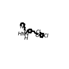 N=c1[nH]c2cc(CCCOc3ccc(Cl)cc3Cl)ccc2n1CCc1ccccn1